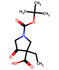 CCC1(C(=O)O)CN(C(=O)OC(C)(C)C)CC1=O